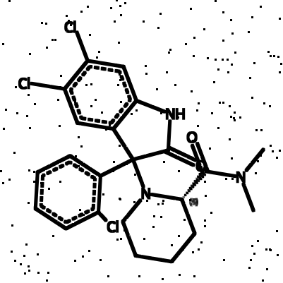 CN(C)C(=O)[C@@H]1CCCCN1C1(c2ccccc2Cl)C(=O)Nc2cc(Cl)c(Cl)cc21